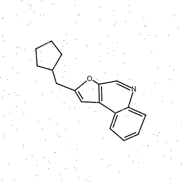 c1ccc2c(c1)ncc1oc(CC3CCCC3)cc12